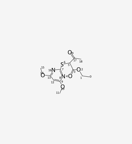 CCOC(=O)C(Sc1nc(OC)cc(OC)n1)C(C)=O